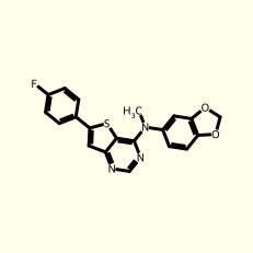 CN(c1ccc2c(c1)OCO2)c1ncnc2cc(-c3ccc(F)cc3)sc12